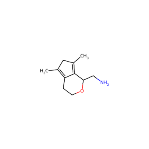 CC1=C2CCOC(CN)C2=C(C)C1